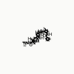 Cc1ccc(NC(=O)c2ccccc2)cc1NC(=O)Nc1ccc2c(c1)NC(=O)C2=Cc1[nH]c(C)c(C(=O)NCCN(C)C)c1C